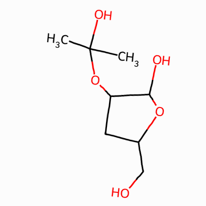 CC(C)(O)OC1CC(CO)OC1O